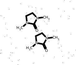 CN1CCN(C)C1=O.CN1CCN(C)C1=O